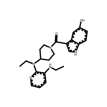 CCNc1cccnc1N(CC)C1CCN(C(=O)c2c[nH]c3ccc(O)cc23)CC1